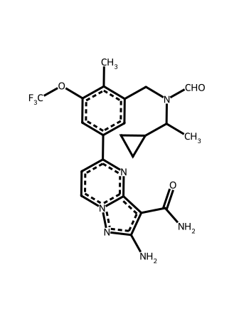 Cc1c(CN(C=O)C(C)C2CC2)cc(-c2ccn3nc(N)c(C(N)=O)c3n2)cc1OC(F)(F)F